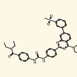 CCN(CC)C(=O)c1ccc(NC(=O)Nc2ccc(-c3nc(N4CCOCC4)c4ccc(-c5cccc(S(C)(=O)=O)c5)cc4n3)cc2)cc1